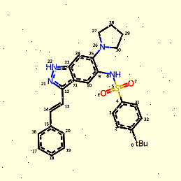 CC(C)(C)c1ccc(S(=O)(=O)Nc2cc3c(/C=C/c4ccccc4)n[nH]c3cc2N2CCCC2)cc1